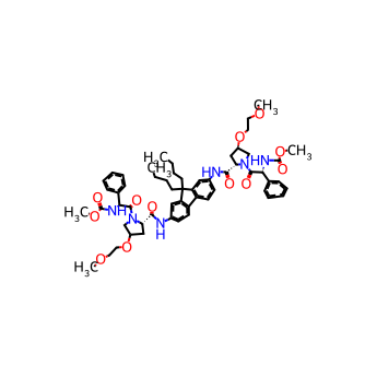 CCCCC1(CCCC)c2cc(NC(=O)[C@@H]3CC(OCCOC)CN3C(=O)[C@H](NC(=O)OC)c3ccccc3)ccc2-c2ccc(NC(=O)[C@@H]3C[C@@H](OCCOC)CN3C(=O)[C@H](NC(=O)OC)c3ccccc3)cc21